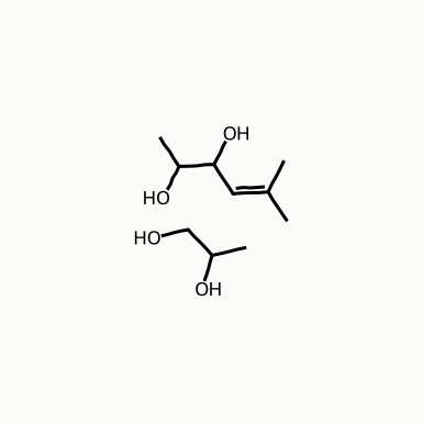 CC(C)=CC(O)C(C)O.CC(O)CO